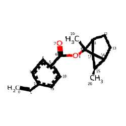 C=Cc1ccc(C(=O)OC2(C)C3CCC4[C@@H](C)C432)cc1